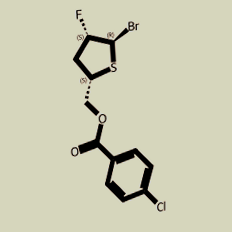 O=C(OC[C@@H]1C[C@H](F)[C@@H](Br)S1)c1ccc(Cl)cc1